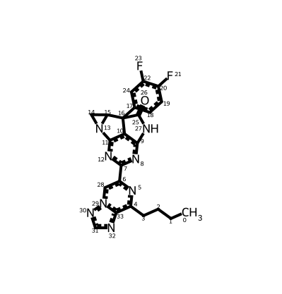 CCCCc1nc(-c2nc3c4c(n2)N2CC2C4(c2ccc(F)c(F)c2)C(=O)N3)cn2ncnc12